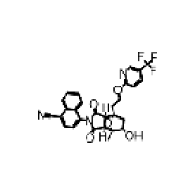 C[C@@]12O[C@@](CCOc3ccc(C(F)(F)F)cn3)(C[C@H]1O)[C@@H]1C(=O)N(c3ccc(C#N)c4ccccc34)C(=O)[C@@H]12